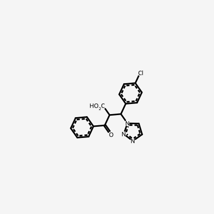 O=C(O)C(C(=O)c1ccccc1)C(c1ccc(Cl)cc1)n1ccnn1